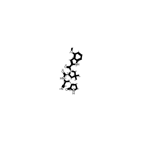 COc1cccc2[nH]c(C(=O)N3CC(C)(C)C[C@H]3C(=O)NC(C#N)C[C@@H]3CCNC3=O)cc12